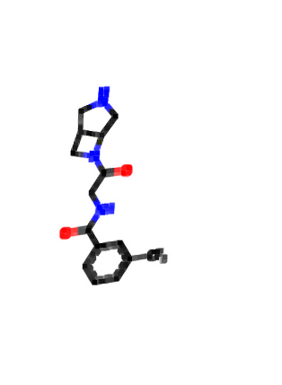 O=C(NCC(=O)N1CC2CNCC21)c1cccc(C(F)(F)F)c1